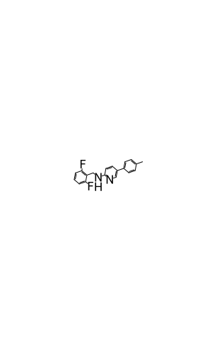 Cc1ccc(-c2ccc(NCc3c(F)cccc3F)nc2)cc1